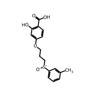 Cc1cccc([S+]([O-])CCCOc2ccc(C(=O)O)c(O)c2)c1